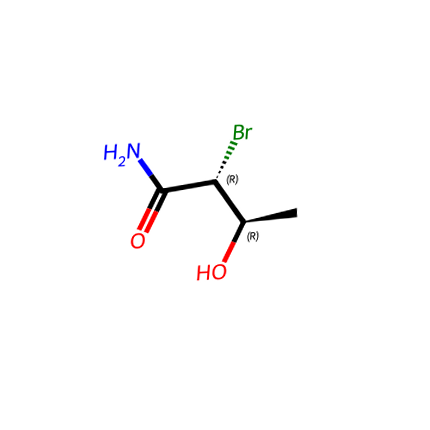 C[C@@H](O)[C@@H](Br)C(N)=O